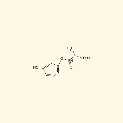 CC(C(=O)O)[PH](=O)Oc1cccc(O)c1